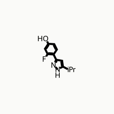 CC(C)c1cc(-c2ccc(O)cc2F)n[nH]1